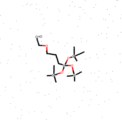 C[Si](C)(C)O[Si](CCCOCC=O)(O[Si](C)(C)C)O[Si](C)(C)C